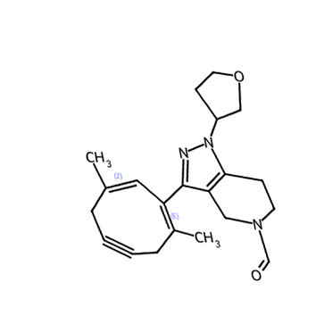 C/C1=C/C(c2nn(C3CCOC3)c3c2CN(C=O)CC3)=C(/C)CC#CC1